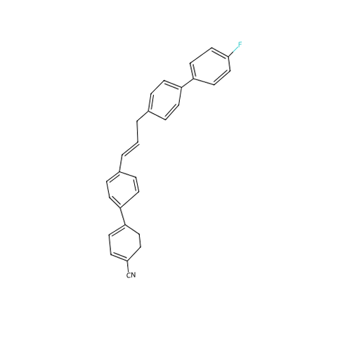 N#CC1=CC=C(c2ccc(/C=C/Cc3ccc(-c4ccc(F)cc4)cc3)cc2)CC1